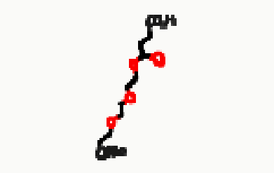 COCCOCCOCCOC(=O)CCC(=O)O